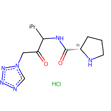 CC(C)C(NC(=O)[C@@H]1CCCN1)C(=O)Cn1cnnn1.Cl